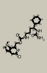 Cn1ncc2cc(Cl)nc(COC(=O)NCCCC(NC(N)=O)c3ccccc3)c21